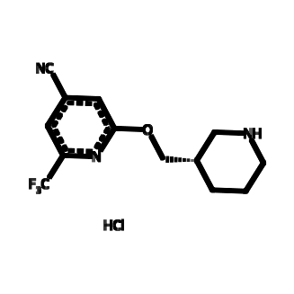 Cl.N#Cc1cc(OC[C@H]2CCCNC2)nc(C(F)(F)F)c1